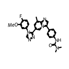 COc1cc(-n2cnnc2-c2cc(C)c3ncc(-c4ccc(NC(=O)N(C)C)cc4)n3c2)ccc1F